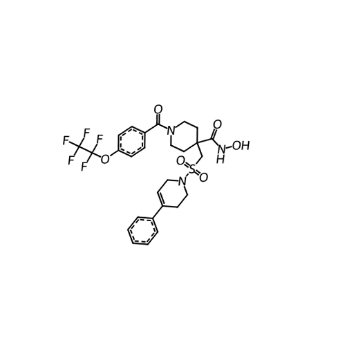 O=C(c1ccc(OC(F)(F)C(F)(F)F)cc1)N1CCC(CS(=O)(=O)N2CC=C(c3ccccc3)CC2)(C(=O)NO)CC1